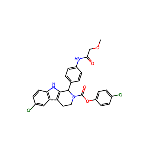 COCC(=O)Nc1ccc(C2c3[nH]c4ccc(Cl)cc4c3CCN2C(=O)Oc2ccc(Cl)cc2)cc1